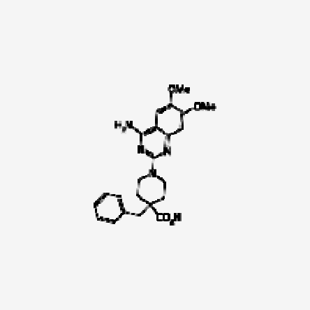 COc1cc2nc(N3CCC(Cc4ccccc4)(C(=O)O)CC3)nc(N)c2cc1OC